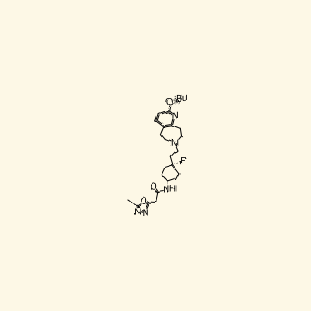 CC[C@@H](C)Oc1ccc2c(n1)CCN(CC[C@]1(F)CC[C@@H](NC(=O)Cc3nnc(C)o3)CC1)CC2